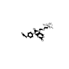 C[Si](C)(C)CCOCn1c(=O)n([C@H]2CC[C@H](CC#N)CC2)c2nc(Cl)ncc21